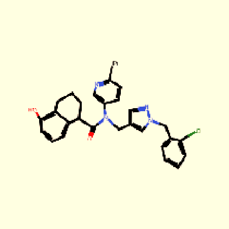 CC(C)c1ccc(N(Cc2cnn(Cc3ccccc3Cl)c2)C(=O)C2CCCc3c(O)cccc32)cn1